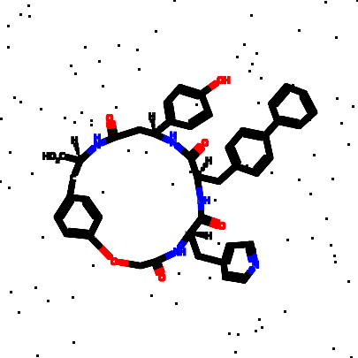 O=C1C[C@@H](c2ccc(O)cc2)NC(=O)[C@@H](Cc2ccc(-c3ccccc3)cc2)NC(=O)[C@H](Cc2ccncc2)NC(=O)COc2ccc(cc2)C[C@@H](C(=O)O)N1